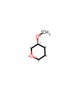 CO[C@H]1[CH]CCOC1